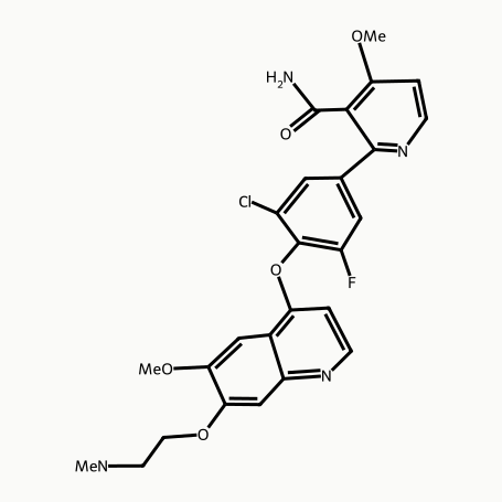 CNCCOc1cc2nccc(Oc3c(F)cc(-c4nccc(OC)c4C(N)=O)cc3Cl)c2cc1OC